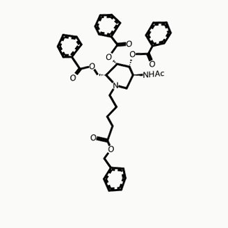 CC(=O)N[C@H]1CN(CCCCC(=O)OCc2ccccc2)[C@H](COC(=O)c2ccccc2)[C@H](OC(=O)c2ccccc2)[C@@H]1OC(=O)c1ccccc1